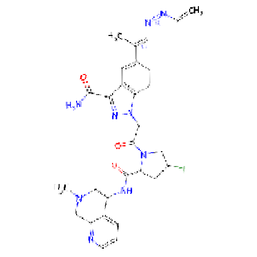 C=C/N=N\C=C(/C)c1ccc2c(c1)c(C(N)=O)nn2CC(=O)N1CC(F)CC1C(=O)NC1CN(C)Cc2ncccc21